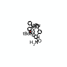 CC(C)(C)[S@@+]([O-])N1Cc2cc(C(N)=O)nc(-c3cccc(-c4cccnc4)c3)c2C1CCO[Si](c1ccccc1)(c1ccccc1)C(C)(C)C